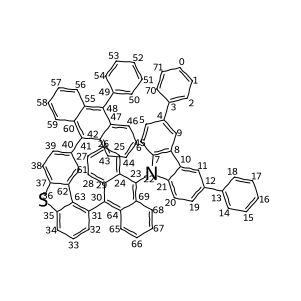 c1ccc(-c2ccc3c(c2)c2cc(-c4ccccc4)ccc2n3-c2c3ccccc3c(-c3cccc4sc5ccc(-c6c7ccccc7c(-c7ccccc7)c7ccccc67)cc5c34)c3ccccc23)cc1